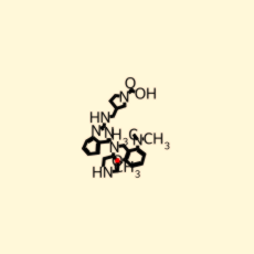 COc1cccc(N(C)C)c1CN(c1nc(NCC2CCN(C(=O)O)C2)nc2ccccc12)C1CCNCC1